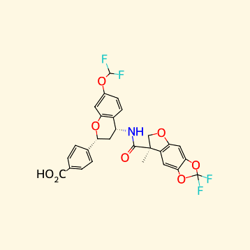 C[C@]1(C(=O)N[C@@H]2C[C@H](c3ccc(C(=O)O)cc3)Oc3cc(OC(F)F)ccc32)COc2cc3c(cc21)OC(F)(F)O3